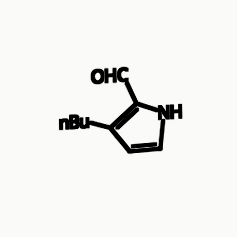 CCCCc1cc[nH]c1C=O